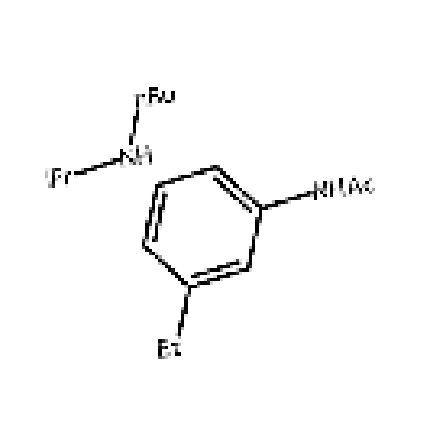 CCCCNC(C)C.CCc1cccc(NC(C)=O)c1